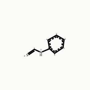 S=[C]Nc1ccccc1